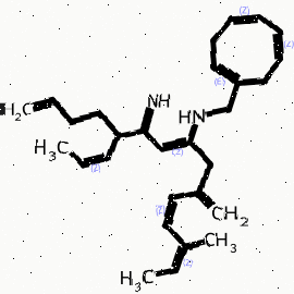 C=CCCC(/C=C\C)C(=N)/C=C(/CC(=C)/C=C\C(C)=C/C)NC/C1=C/C/C=C\C=C/C1